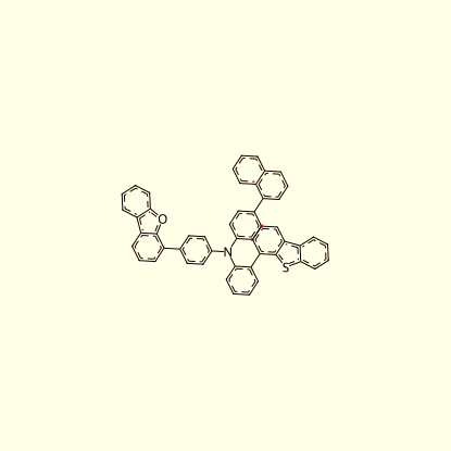 c1ccc(N(c2ccc(-c3cccc4ccccc34)cc2)c2ccc(-c3cccc4c3oc3ccccc34)cc2)c(-c2cccc3c2sc2ccccc23)c1